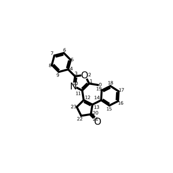 Cc1oc(-c2ccccc2)nc1C1=C(c2ccccc2)C(=O)CC1